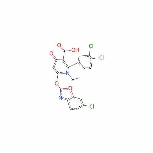 CCn1c(Oc2nc3ccc(Cl)cc3o2)cc(=O)c(C(=O)O)c1-c1ccc(Cl)c(Cl)c1